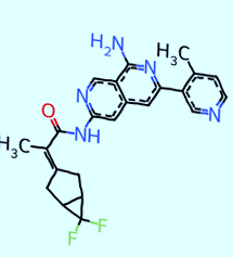 CC(C(=O)Nc1cc2cc(-c3cnccc3C)nc(N)c2cn1)=C1CC2C(C1)C2(F)F